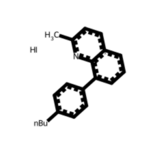 CCCCc1ccc(-c2cccc3ccc(C)nc23)cc1.I